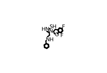 Fc1cc(F)c2c(c1)C[C@@H](N1C(CCNCc3ccccc3)=CNC1S)CO2